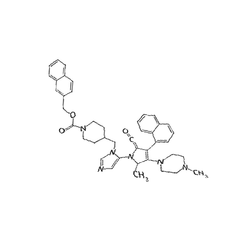 CC1C(N2CCN(C)CC2)=C(c2cccc3ccccc23)C(=C=O)N1c1cncn1CC1CCN(C(=O)OCc2ccc3ccccc3c2)CC1